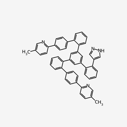 Cc1ccc(-c2ccc(-c3ccccc3-c3cc(-c4ccccc4-c4ccc(-c5ccc(C)cn5)cc4)cc(-c4ccccc4-c4cn[nH]c4)c3)cc2)nc1